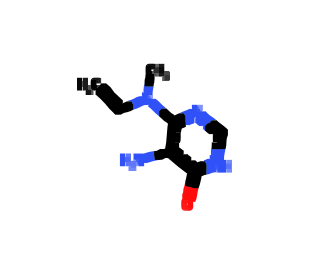 C=CN(C)c1nc[nH]c(=O)c1N